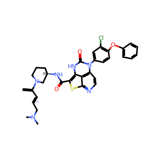 C=C(/C=C/CN(C)C)N1CCC[C@@H](NC(=O)c2sc3nccc4c3c2NC(=O)N4c2ccc(Oc3ccccc3)c(Cl)c2)C1